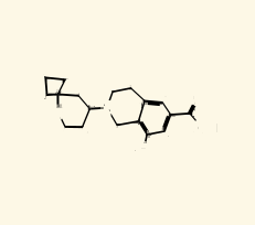 O=C(O)c1cc(F)c2c(c1)CCN(C1CCOC3(CCC3)C1)C2